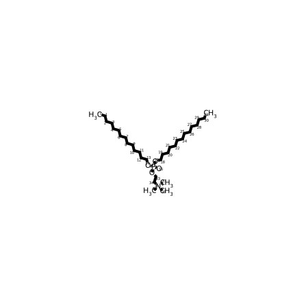 CCCCCCCCCCCCCCOP(=O)(OCCCCCCCCCCCCCC)OCC[N+](C)(C)C